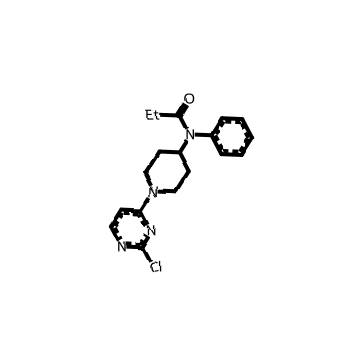 CCC(=O)N(c1ccccc1)C1CCN(c2ccnc(Cl)n2)CC1